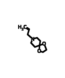 C=CCN1CCC2(CC1)OCCO2